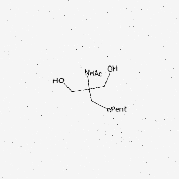 CCCCCCC(CO)(CO)NC(C)=O